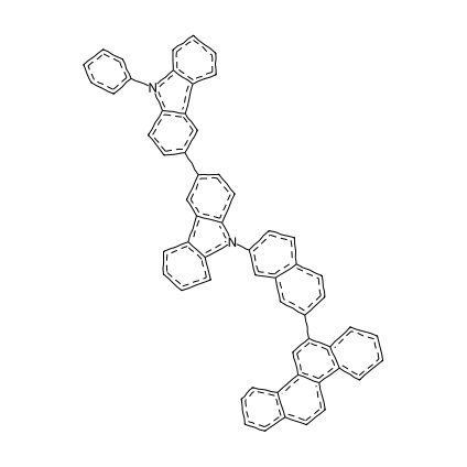 c1ccc(-n2c3ccccc3c3cc(-c4ccc5c(c4)c4ccccc4n5-c4ccc5ccc(-c6cc7c8ccccc8ccc7c7ccccc67)cc5c4)ccc32)cc1